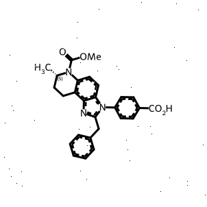 COC(=O)N1c2ccc3c(nc(Cc4ccccc4)n3-c3ccc(C(=O)O)cc3)c2CC[C@@H]1C